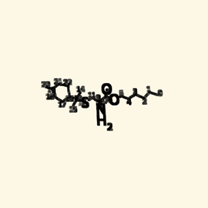 CCCCCCOC(=O)[C@@H](N)CSC(C)(C)C1CC=C(C)CC1